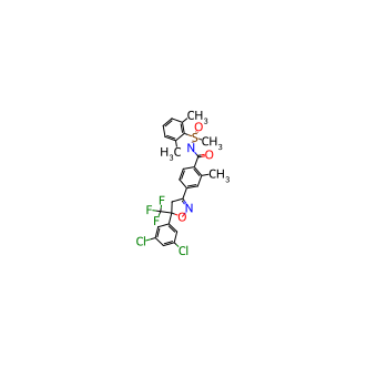 Cc1cc(C2=NOC(c3cc(Cl)cc(Cl)c3)(C(F)(F)F)C2)ccc1C(=O)N=S(C)(=O)c1c(C)cccc1C